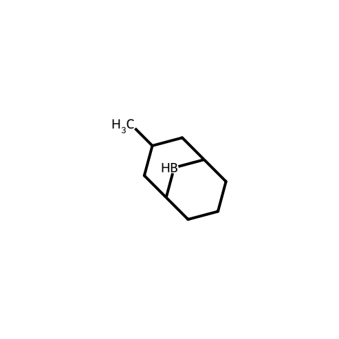 CC1CC2BC(CCC2)C1